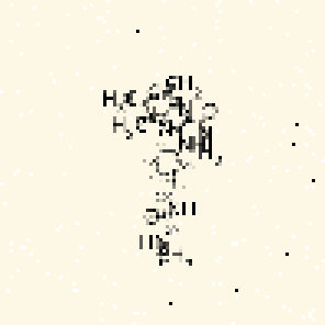 C=Cc1nc(C(N)=O)c(Nc2cccc(CCNC(=O)CNC)c2)nc1N(C)C(C)C